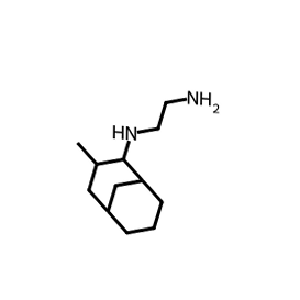 CC1CC2CCCC(C2)C1NCCN